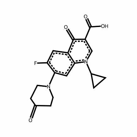 O=C1CCN(c2cc3c(cc2F)c(=O)c(C(=O)O)cn3C2CC2)CC1